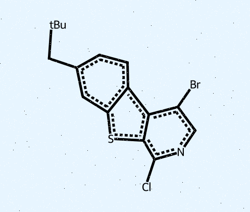 CC(C)(C)Cc1ccc2c(c1)sc1c(Cl)ncc(Br)c12